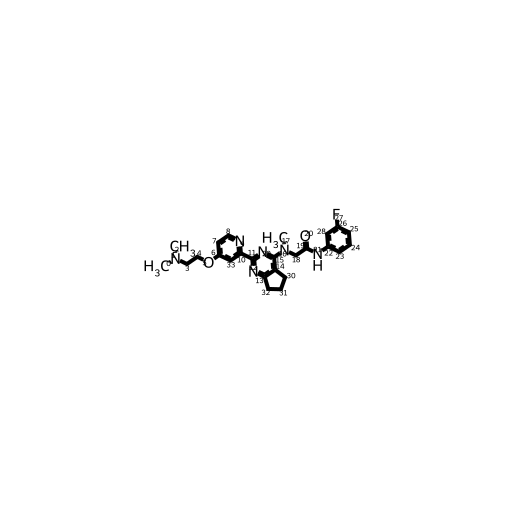 CN(C)CCOc1ccnc(-c2nc3c(c(N(C)CC(=O)Nc4cccc(F)c4)n2)CCC3)c1